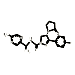 Cc1cnc(C(C)NC(=O)N2C[C@H](N3CCCC3=O)C(c3ccc(F)cc3)=N2)cn1